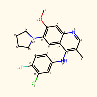 COc1cc2ncc(C)c(Nc3ccc(F)c(Cl)c3)c2cc1N1CCCC1